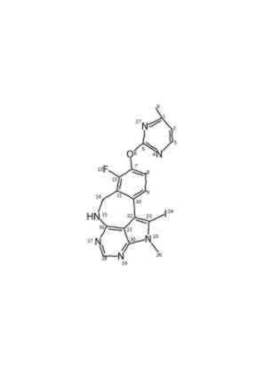 Cc1ccnc(Oc2ccc3c(c2F)CNc2ncnc4c2c-3c(I)n4C)n1